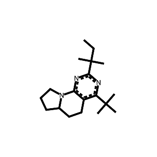 CCC(C)(C)c1nc2c(c(C(C)(C)C)n1)CCC1CCCN21